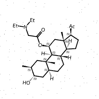 CCN(CC)CC(=O)O[C@H]1C[C@]2(C)[C@@H](C(C)=O)CC[C@H]2[C@@H]2CC[C@H]3C[C@H](O)[C@@H](C)C[C@]3(C)[C@H]21